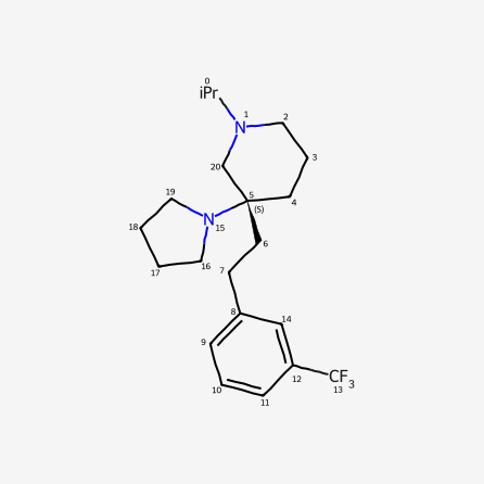 CC(C)N1CCC[C@](CCc2cccc(C(F)(F)F)c2)(N2CCCC2)C1